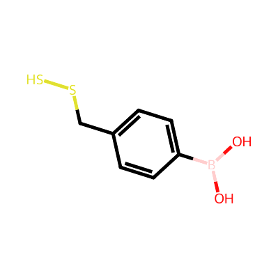 OB(O)c1ccc(CSS)cc1